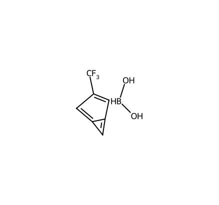 FC(F)(F)c1cc2cc-2c1.OBO